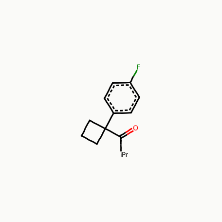 CC(C)C(=O)C1(c2ccc(F)cc2)CCC1